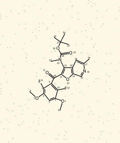 COc1cc(OC)c(F)c(C(=O)c2oc3cnc(C)cc3c2N(C)C(=O)OC(C)(C)C)c1F